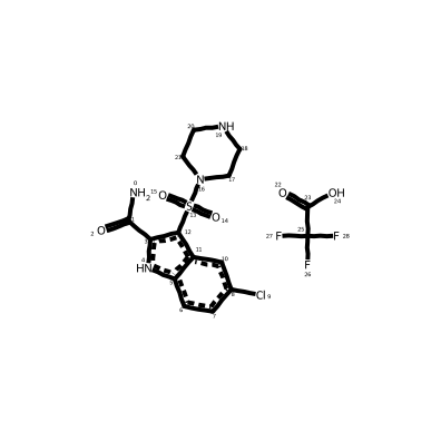 NC(=O)c1[nH]c2ccc(Cl)cc2c1S(=O)(=O)N1CCNCC1.O=C(O)C(F)(F)F